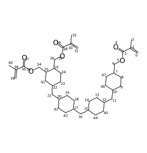 C=C(C)C(=O)OCC1CCC(CC2CCC(CC3CCC(CC4CCC(COC(=O)C(=C)C)C(COC(=O)C(=C)C)C4)CC3)CC2)CC1